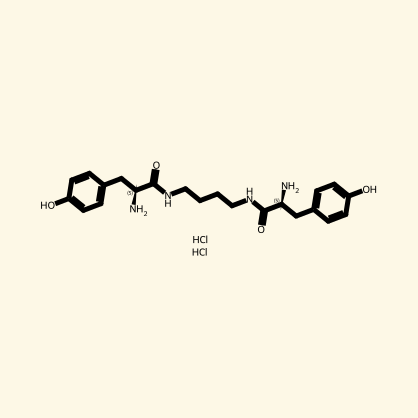 Cl.Cl.N[C@@H](Cc1ccc(O)cc1)C(=O)NCCCCNC(=O)[C@@H](N)Cc1ccc(O)cc1